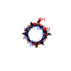 C/C=C/C[C@@H](C)[C@@H](O)[C@H]1C(=O)N[C@@H](CC)C(=O)N(C)[C@H](COCCO)C(=O)N(C)[C@@H](CC(C)C)C(=O)N[C@@H](C(C)C)C(=O)N(C)[C@@H](CC(C)C)C(=O)N[C@@H](C)C(=O)N[C@@H](C)C(=O)N(C)[C@@H](CC(C)C)C(=O)N(C)[C@@H](CC(C)C)C(=O)N(C)[C@@H](C(C)C)C(=O)N1C